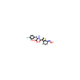 O=C(NC(Cc1ccc(F)cc1)C(=O)O)c1csc2c1CCC/C2=N\O